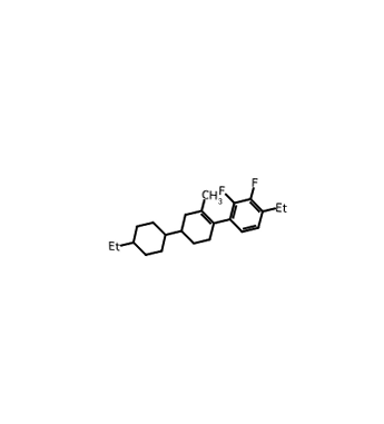 CCc1ccc(C2=C(C)CC(C3CCC(CC)CC3)CC2)c(F)c1F